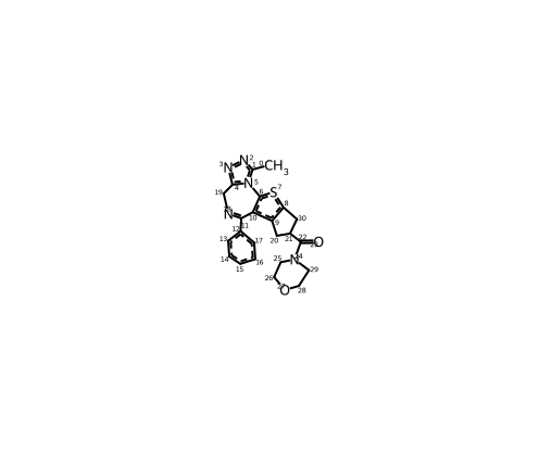 Cc1nnc2n1-c1sc3c(c1C(c1ccccc1)=NC2)CC(C(=O)N1CCOCC1)C3